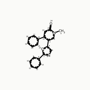 Cn1cc(-c2cnc(-c3ccccc3)o2)c(-c2ccccc2)cc1=O